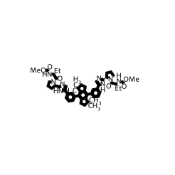 CCC(NC(=O)OC)C(=O)N1CCCC1c1ncc(-c2cccc(-c3c4c(c(-c5cccc(-c6cnc([C@@H]7CCCN7C(=O)[C@@H](CC)NC(=O)OC)[nH]6)c5)c5c3C(C)(C)CC5)C(C)(C)CC4)c2)[nH]1